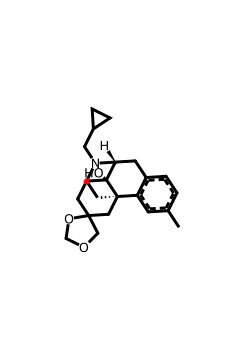 Cc1ccc2c(c1)[C@]13CCN(CC4CC4)[C@H](C2)[C@]1(O)CCC1(COCO1)C3